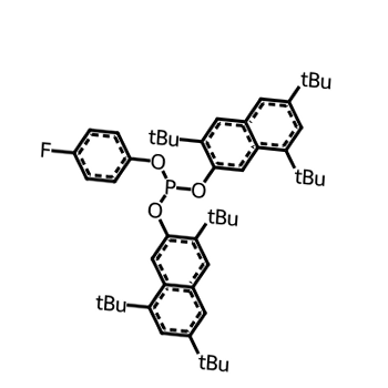 CC(C)(C)c1cc(C(C)(C)C)c2cc(OP(Oc3ccc(F)cc3)Oc3cc4c(C(C)(C)C)cc(C(C)(C)C)cc4cc3C(C)(C)C)c(C(C)(C)C)cc2c1